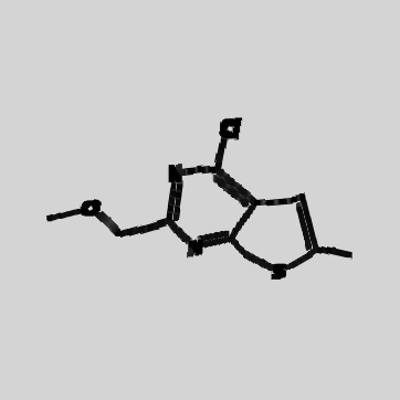 COCc1nc(Cl)c2cc(C)sc2n1